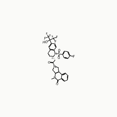 CN1C(=O)c2ccccc2C2CN(C(=O)C[C@@H]3CCc4cc(C(O)(C(F)(F)F)C(F)(F)F)ccc4N3S(=O)(=O)c3ccc(F)cc3)CC21